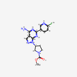 CC(C)(C)OC(=O)N1CC[C@H](n2ncc3c(N)nc(-c4ccc(F)nc4)nc32)C1